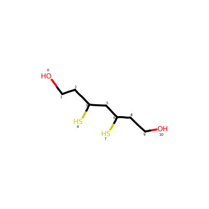 OCCC(S)CC(S)CCO